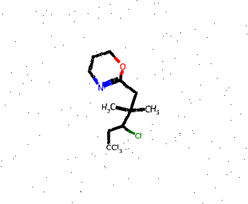 CC(C)(CC1=NCCCO1)C(Cl)CC(Cl)(Cl)Cl